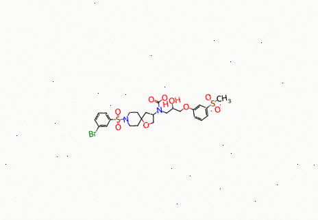 CS(=O)(=O)c1cccc(OCC(O)CN(C(=O)O)C2COC3(CCN(S(=O)(=O)c4cccc(Br)c4)CC3)C2)c1